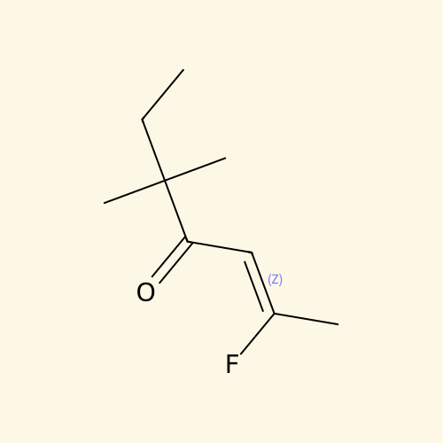 CCC(C)(C)C(=O)/C=C(/C)F